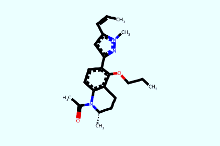 C/C=C\c1cc(-c2ccc3c(c2OCCC)CC[C@H](C)N3C(C)=O)nn1C